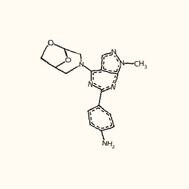 Cn1ncc2c(N3CC4COC(C3)O4)nc(-c3ccc(N)cc3)nc21